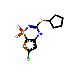 O=S1(=O)N=C(SC2CCCC2)Nc2cc(Cl)sc21